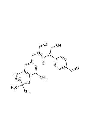 CCN(C(=O)N(C=O)Cc1cc(C)c(OC(C)(C)C)c(C)c1)c1ccc(C=O)cc1